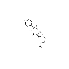 CN(C(=O)c1cnn2c1CN(C(=O)O)CC2)C1(c2ccncc2)CC1